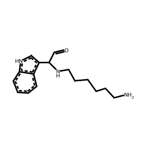 NCCCCCCNC(C=O)c1[c][nH]c2ccccc12